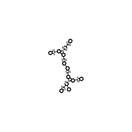 c1ccc(-c2cc(-n3c4ccc(-c5nc6ccccc6s5)cc4c4cc(-c5nc6ccc(-c7ccc8sc(-c9ccc%10c(c9)c9cc(-c%11nc%12ccccc%12s%11)ccc9n%10-c9ncc(-c%10nc%11ccccc%11s%10)cn9)nc8c7)cc6s5)ccc43)ncc2-c2nc3ccccc3s2)cc1